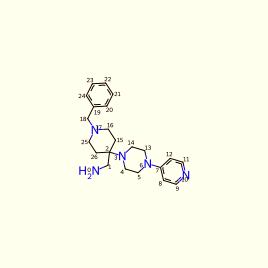 NCC1(N2CCN(c3ccncc3)CC2)CCN(Cc2ccccc2)CC1